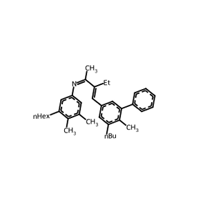 CCCCCCc1cc(N=C(C)C(=Cc2cc(CCCC)c(C)c(-c3ccccc3)c2)CC)cc(C)c1C